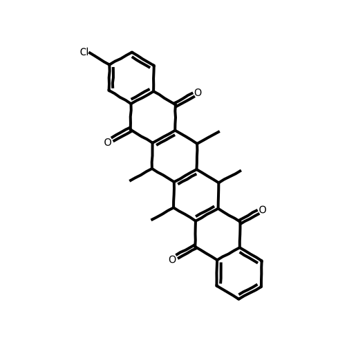 CC1C2=C(C(=O)c3ccccc3C2=O)C(C)C2=C1C(C)C1=C(C(=O)c3cc(Cl)ccc3C1=O)C2C